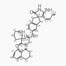 C=C/C=C\C1=C(N)NC(=O)C12Cc1ccc(NC(=O)CN(C(=O)C3(C)CCCNC3)[C@@H]3CCCc4ccccc43)cc1C2